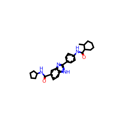 CC1CCCCC1C(=O)Nc1ccc(-c2nc3cc(C(=O)NC4CCCC4)ccc3[nH]2)cc1